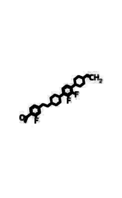 C=CC1CCC(c2ccc(C3CCC(CCc4ccc(C5CO5)c(F)c4)CC3)c(F)c2F)CC1